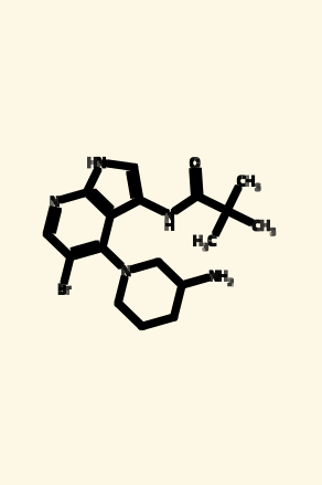 CC(C)(C)C(=O)Nc1c[nH]c2ncc(Br)c(N3CCCC(N)C3)c12